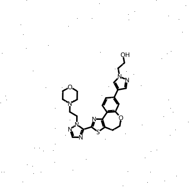 OCCn1cc(-c2ccc3c(c2)OCCc2sc(-c4ncnn4CCN4CCOCC4)nc2-3)cn1